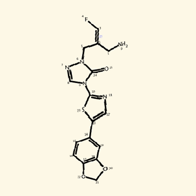 NC/C(=C/F)Cn1ncn(-c2ncc(-c3ccc4c(c3)OCO4)s2)c1=O